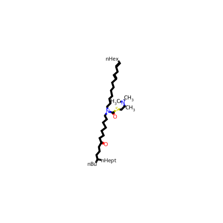 CCCCCCC=CCC=CCCCCCCCN(CCCCCCCC(=O)CCCC(CCCC)CCCCCCC)C(=O)SCC(C)N(C)C